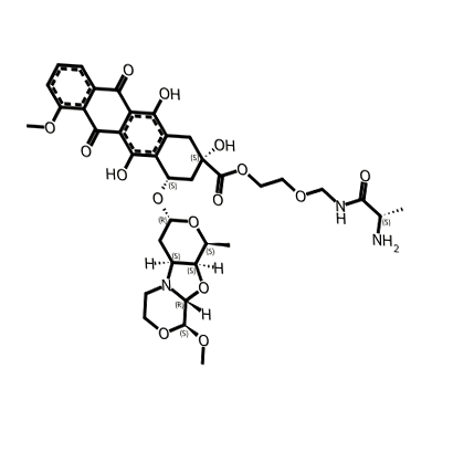 COc1cccc2c1C(=O)c1c(O)c3c(c(O)c1C2=O)C[C@@](O)(C(=O)OCCOCNC(=O)[C@H](C)N)C[C@@H]3O[C@H]1C[C@H]2[C@H](O[C@@H]3[C@@H](OC)OCCN32)[C@H](C)O1